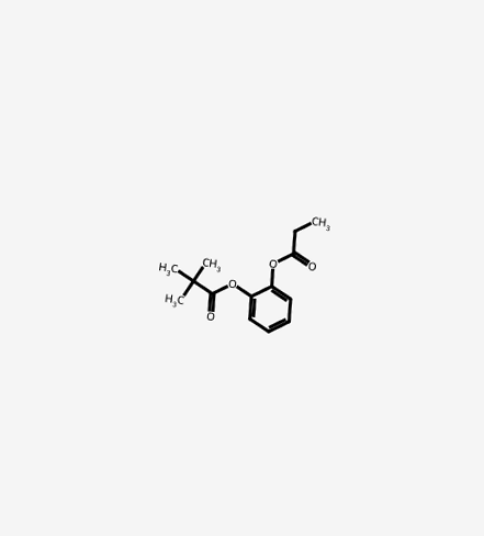 CCC(=O)Oc1ccccc1OC(=O)C(C)(C)C